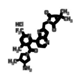 Cc1cc(C(F)(F)F)nc(-c2ccnc3cc(CN4C(=O)C5C(C4=O)C5(C)C)sc23)c1C(=O)N1C[C@@H](N)[C@@H](C)C1.Cl